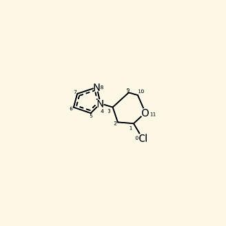 ClC1CC(n2cccn2)CCO1